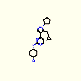 N[C@H]1CC[C@H](Nc2nccc(-c3cnn(C4CCCC4)c3CC3CC3)n2)CC1